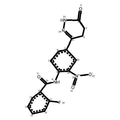 O=C1CCC(c2ccc(NC(=O)c3ccccc3F)c([N+](=O)[O-])c2)=NN1